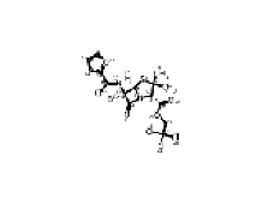 CC1(C)S[C@H]2N(C(=O)[C@@]2(Br)N=C(Cl)c2ccco2)[C@H]1C(=O)OCC(Cl)(Cl)Cl